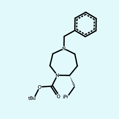 CC(C)C[C@H]1CCN(Cc2ccccc2)CCN1C(=O)OC(C)(C)C